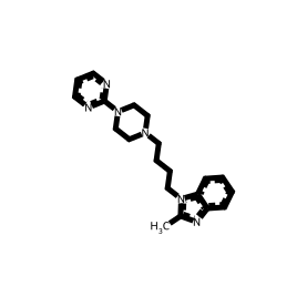 Cc1nc2ccccc2n1CCCCN1CCN(c2ncccn2)CC1